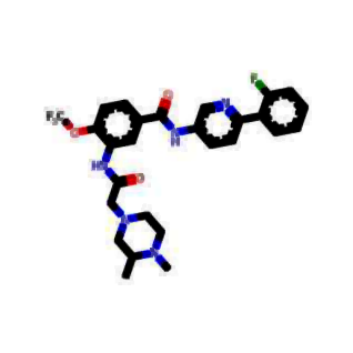 CC1CN(CC(=O)Nc2cc(C(=O)Nc3ccc(-c4ccccc4F)nc3)ccc2OC(F)(F)F)CCN1C